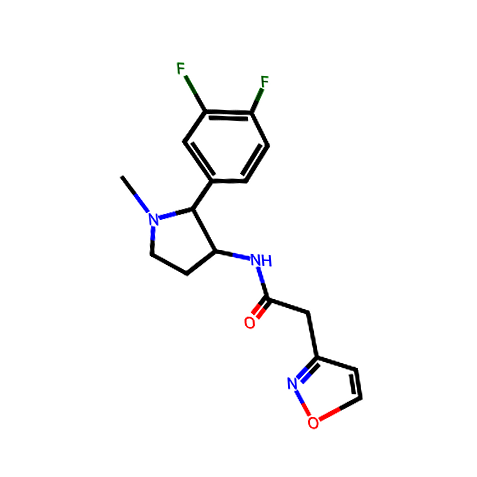 CN1CCC(NC(=O)Cc2ccon2)C1c1ccc(F)c(F)c1